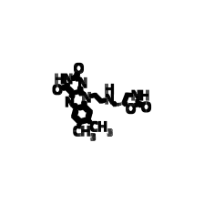 Cc1cc2nc3c(=O)[nH]c(=O)nc-3n(CCNC[C@@H]3CNC(=O)O3)c2cc1C